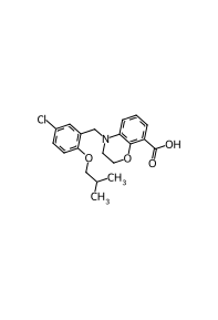 CC(C)COc1ccc(Cl)cc1CN1CCOc2c(C(=O)O)cccc21